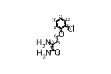 NC(=O)[C@@H](N)CCOc1ccccc1Cl